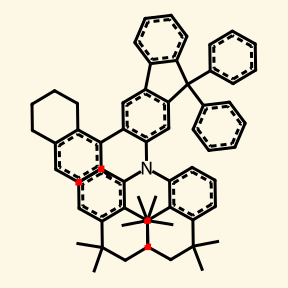 Cc1ccc2c(c1-c1cc3c(cc1N(c1cccc4c1C(C)(C)CCC4(C)C)c1cccc4c1C(C)(C)CCC4(C)C)C(c1ccccc1)(c1ccccc1)c1ccccc1-3)CCCC2